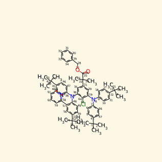 CC(C)(C)c1ccc(N(c2ccc(C(C)(C)C)cc2)c2cc(C(C)(C)C(=O)OCc3ccccc3)cc(N(c3ccc(C(C)(C)C)cc3)c3ccc(C(C)(C)C)cc3-c3ccccn3)c2Cl)cc1